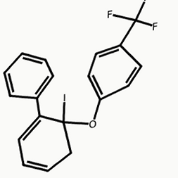 FC(F)(F)c1ccc(OC2(I)CC=CC=C2c2ccccc2)cc1